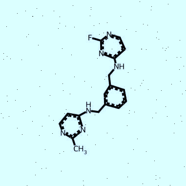 Cc1nccc(NCc2cccc(CNc3ccnc(F)n3)c2)n1